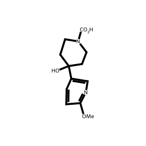 COc1ccc(C2(O)CCN(C(=O)O)CC2)cn1